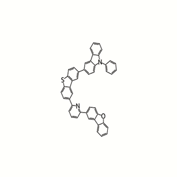 c1ccc(-n2c3ccccc3c3cc(-c4ccc5sc6ccc(-c7cccc(-c8ccc9oc%10ccccc%10c9c8)n7)cc6c5c4)ccc32)cc1